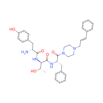 C[C@H](O)[C@@H](NC(=O)[C@H](N)Cc1ccc(O)cc1)C(=O)N[C@@H](Cc1ccccc1)C(=O)N1CCN(C/C=C/c2ccccc2)CC1